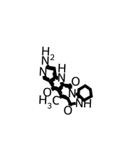 Cc1c2n(c(=O)c3[nH]c4cc(N)ncc4c(=O)c13)C1(CCCCC1)NC2=O